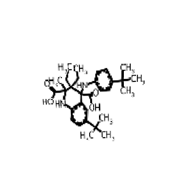 CCC1(CC)C(C)(C(=O)O)Nc2ccc(C(C)(C)C)cc2C1(Nc1ccc(C(C)(C)C)cc1)C(=O)O